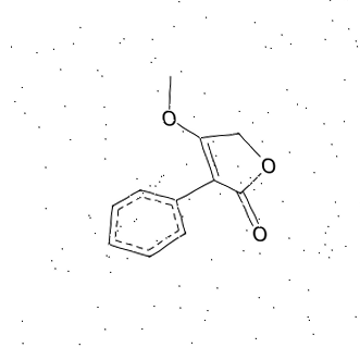 COC1=C(c2ccccc2)C(=O)OC1